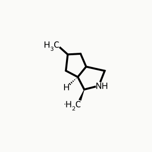 [CH2][C@@H]1NCC2CC(C)C[C@@H]21